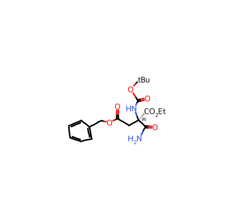 CCOC(=O)[C@](CC(=O)OCc1ccccc1)(NC(=O)OC(C)(C)C)C(N)=O